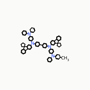 CC1C=CC(N(c2ccccc2)c2ccc(N(c3ccc(-c4ccc(N(c5ccc(N(C6=CC=CCC6)c6ccccc6)cc5)c5ccc6c(c5)C5(CCCC5)c5ccccc5-6)cc4)cc3)c3ccc4c(c3)C3(CCCC3)c3ccccc3-4)cc2)=CC1